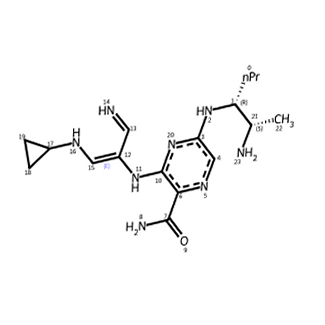 CCC[C@@H](Nc1cnc(C(N)=O)c(N/C(C=N)=C/NC2CC2)n1)[C@H](C)N